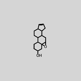 OC1CCC2C3CCC4C=CCC4C3CC3OC32C1